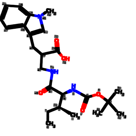 CC[C@H](C)[C@H](NC(=O)OC(C)(C)C)C(=O)NCC(Cc1cn(C)c2ccccc12)C(=O)O